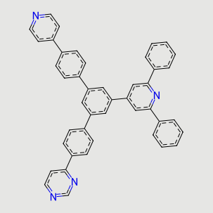 c1ccc(-c2cc(-c3cc(-c4ccc(-c5ccncc5)cc4)cc(-c4ccc(-c5ccncn5)cc4)c3)cc(-c3ccccc3)n2)cc1